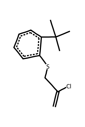 C=C(Cl)CSc1ccccc1C(C)(C)C